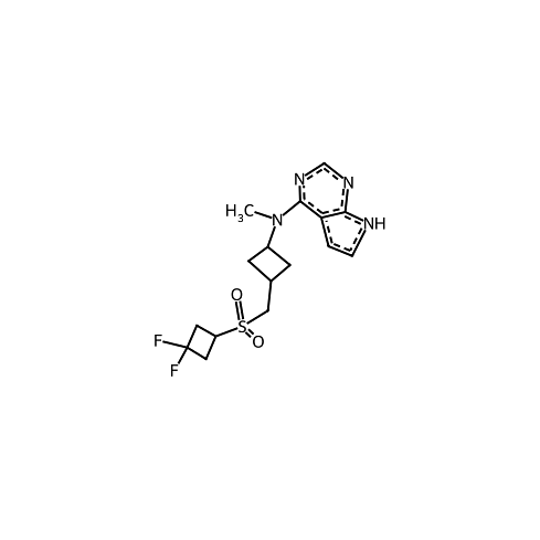 CN(c1ncnc2[nH]ccc12)C1CC(CS(=O)(=O)C2CC(F)(F)C2)C1